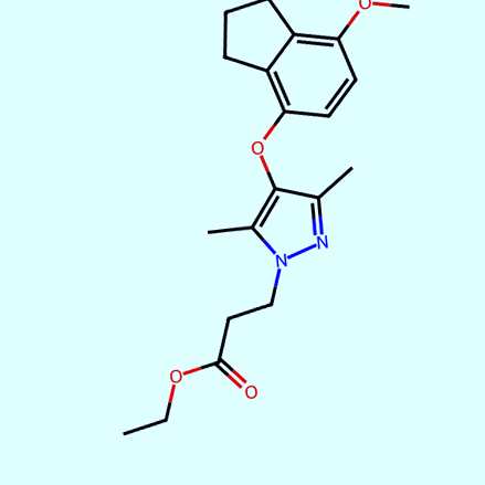 CCOC(=O)CCn1nc(C)c(Oc2ccc(OC)c3c2CCC3)c1C